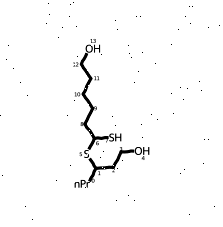 CCCC(CCO)SC(S)CCCCCO